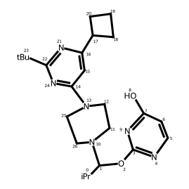 CC(C)C(Oc1nccc(O)n1)N1CCN(c2cc(C3CCC3)nc(C(C)(C)C)n2)CC1